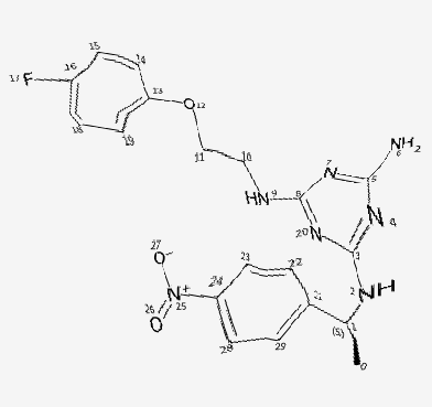 C[C@H](Nc1nc(N)nc(NCCOc2ccc(F)cc2)n1)c1ccc([N+](=O)[O-])cc1